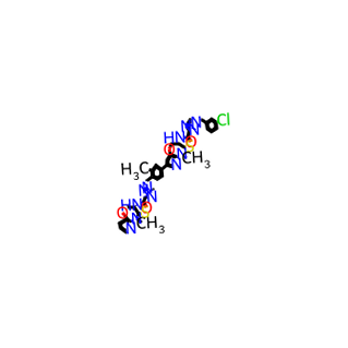 Cc1cc(-c2cnc3c(c2)OC[C@H](NC(=O)c2ncn(Cc4cccc(Cl)c4)n2)C(=S)N3C)ccc1Cn1cnc(C(=O)N[C@H]2COc3cccnc3N(C)C2=S)n1